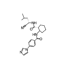 CC(C)C[C@@H](C#N)NC(=O)[C@@H]1CCCCC1NC(=O)c1ccc(-n2ccnc2)cc1